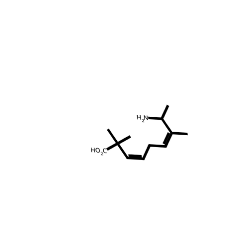 C/C(=C/C/C=C\C(C)(C)C(=O)O)C(C)N